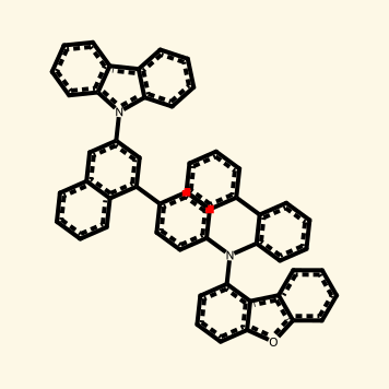 c1ccc(-c2ccccc2N(c2ccc(-c3cc(-n4c5ccccc5c5ccccc54)cc4ccccc34)cc2)c2cccc3oc4ccccc4c23)cc1